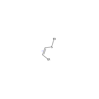 CC/C=C\SCC